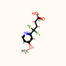 COc1ccnc(C(F)(F)CCC(=O)O)c1